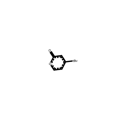 CC(C)(C)c1ccoc(=O)c1